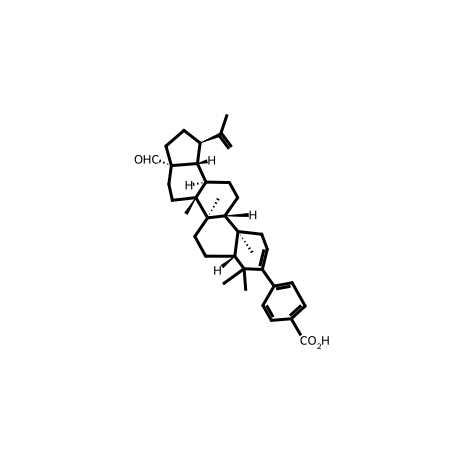 C=C(C)[C@@H]1CC[C@]2(C=O)CC[C@]3(C)[C@H](CC[C@@H]4[C@@]5(C)CC=C(c6ccc(C(=O)O)cc6)C(C)(C)[C@@H]5CC[C@]43C)[C@@H]12